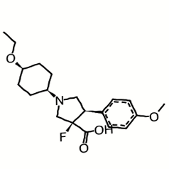 CCO[C@H]1CC[C@@H](N2C[C@@H](c3ccc(OC)cc3)[C@](F)(C(=O)O)C2)CC1